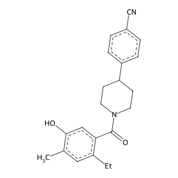 CCc1cc(C)c(O)cc1C(=O)N1CCC(c2ccc(C#N)cc2)CC1